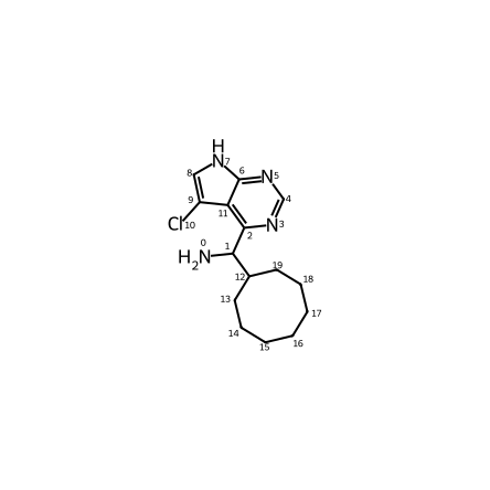 NC(c1ncnc2[nH]cc(Cl)c12)C1CCCCCCC1